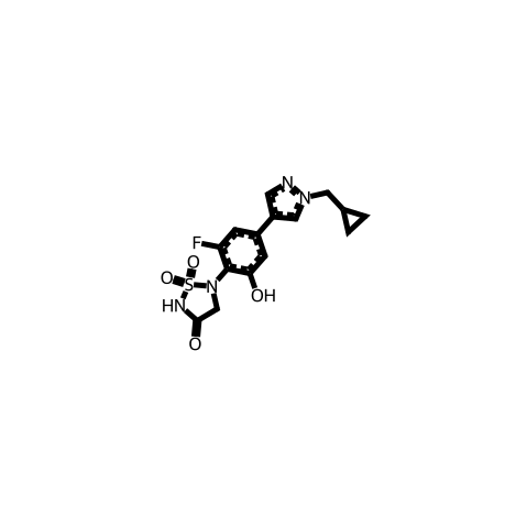 O=C1CN(c2c(O)cc(-c3cnn(CC4CC4)c3)cc2F)S(=O)(=O)N1